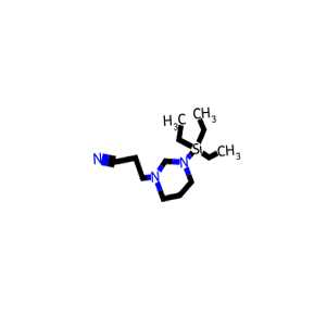 CC[Si](CC)(CC)N1CCCN(CCC#N)C1